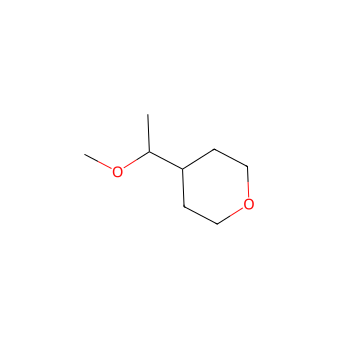 COC(C)C1CCOCC1